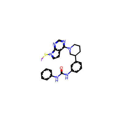 O=C(Nc1ccccc1)Nc1cccc(C2CCCN(c3ncnc4c3ccn4SI)C2)c1